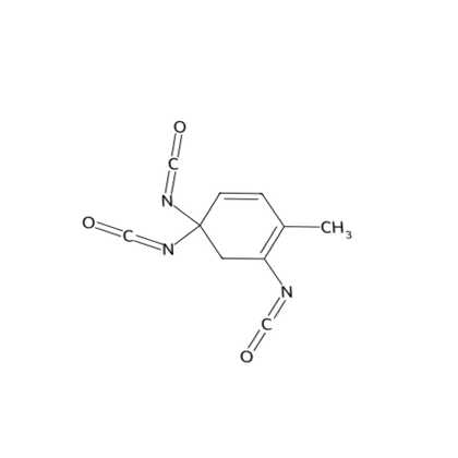 CC1=C(N=C=O)CC(N=C=O)(N=C=O)C=C1